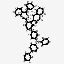 c1ccc(-c2ccc(N(c3ccccc3)c3ccc(-c4ccc(-c5nc(-c6ccccc6)c6ccccc6n5)c5c4oc4cc6ccccc6cc45)cc3)cc2)cc1